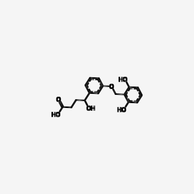 O=C(O)CCC(O)c1cccc(OCc2c(O)cccc2O)c1